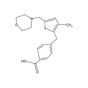 Cc1cc(CN2CCOCC2)sc1Cc1ccc(C(=O)O)cc1